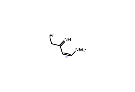 CN/C=C\C(=N)CC(C)C